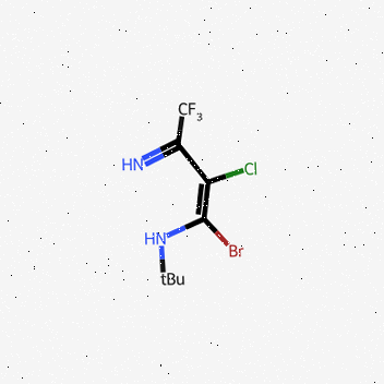 CC(C)(C)N/C(Br)=C(/Cl)C(=N)C(F)(F)F